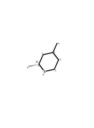 CC1CCS[C@H](C)C1